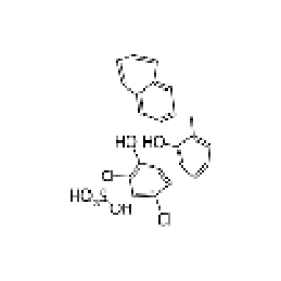 Cc1ccccc1O.O=S(=O)(O)O.Oc1ccc(Cl)cc1Cl.c1ccc2ccccc2c1